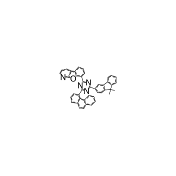 CC1(C)c2ccccc2-c2cc(-c3nc(-c4cccc5c4oc4ncccc45)nc(-c4cccc5ccc6ccccc6c45)n3)ccc21